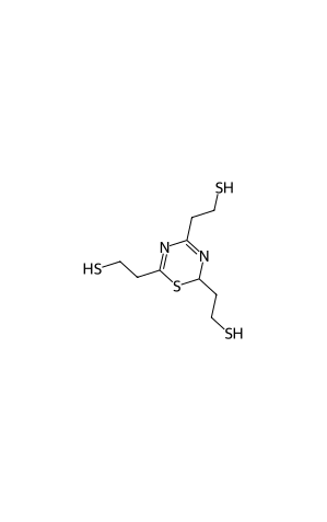 SCCC1=NC(CCS)SC(CCS)=N1